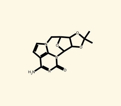 CC1(C)OC2C3Cn4ccc5c(N)nc(=O)n(c54)C(O3)C2O1